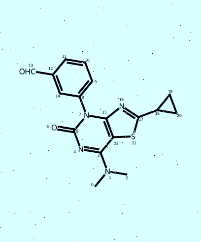 CN(C)c1nc(=O)n(-c2cccc(C=O)c2)c2nc(C3CC3)sc12